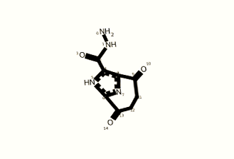 NNC(=O)c1[nH]c2nc1C(=O)CCC2=O